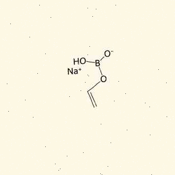 C=COB([O-])O.[Na+]